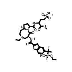 CCOP(=O)(O)C(F)(F)c1ccc2sc(C(=O)N[C@H]3CN(CC)CC[C@H]4CC[C@@H](C(=O)NC(CCS(N)(=O)=O)C(=O)OC)N4C3=O)cc2c1